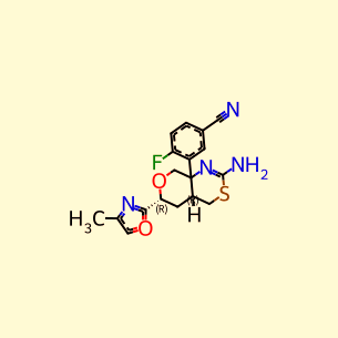 Cc1coc([C@H]2C[C@H]3CSC(N)=NC3(c3cc(C#N)ccc3F)CO2)n1